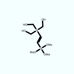 CO[Si](C=C[Si](CO)(CO)CO)(OC)OC